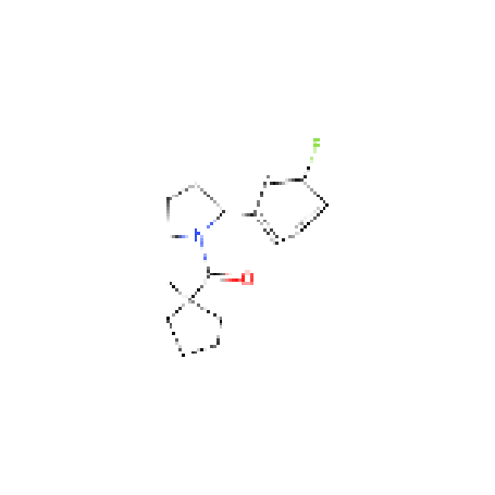 CC1(C(=O)N2CCCC2c2cccc(F)c2)CCCC1